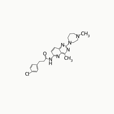 Cc1nc(N2CCCN(C)CC2)nc2ccc(NC(=O)CCc3ccc(Cl)cc3)nc12